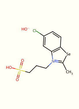 Cc1[se]c2ccc(Cl)cc2[n+]1CCCS(=O)(=O)O.[OH-]